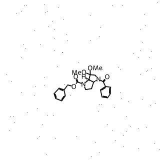 COC1(OC)CN(C(=O)c2ccccc2)C2CCN(C(=O)OCc3ccccc3)[C@@H]21